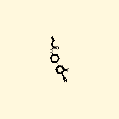 C=CCC(=O)O[C@H]1CC[C@H](c2ccc(C#N)c(F)c2)CC1